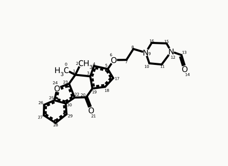 CC1(C)c2cc(OCCN3CCN(C=O)CC3)ccc2C(=O)c2c1oc1ccccc21